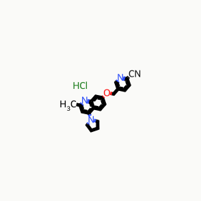 Cc1cc(N2CCCC2)c2ccc(OCc3ccc(C#N)nc3)cc2n1.Cl